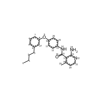 CCCCc1cccc(Oc2ccc(NC(=O)c3c(C)ccnc3N)cc2)c1